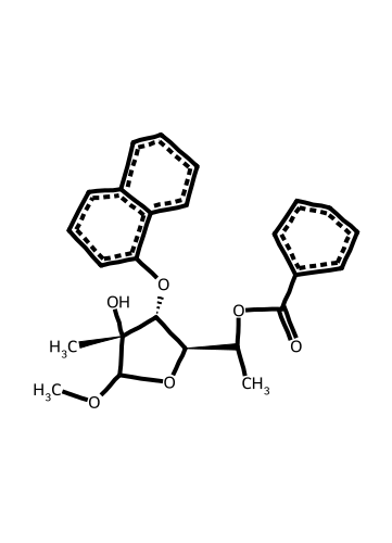 COC1O[C@H](C(C)OC(=O)c2ccccc2)[C@@H](Oc2cccc3ccccc23)[C@@]1(C)O